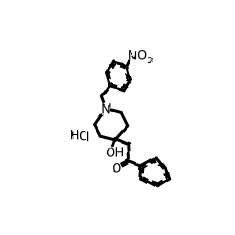 Cl.O=C(CC1(O)CCN(Cc2ccc([N+](=O)[O-])cc2)CC1)c1ccccc1